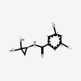 CCCC1(CCC)C[C@@H]1NC(=O)c1cc(F)cc(Cl)c1